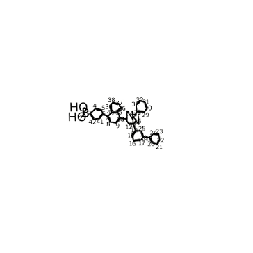 OB(O)c1ccc(-c2ccc(-c3cc(-c4cccc(-c5ccccc5)c4)nc(-c4ccccc4)n3)c3ccccc23)cc1